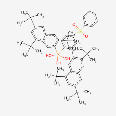 CC(C)(C)c1cc(C(C)(C)C)c2cc(-c3cc(S(=O)(=O)c4ccccc4)ccc3P(O)(O)(O)c3cc4c(C(C)(C)C)cc(C(C)(C)C)cc4cc3C(C)(C)C)c(C(C)(C)C)cc2c1